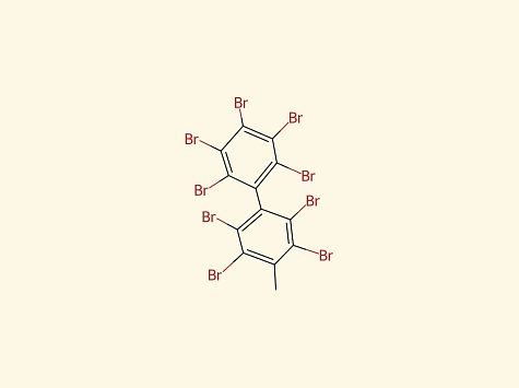 Cc1c(Br)c(Br)c(-c2c(Br)c(Br)c(Br)c(Br)c2Br)c(Br)c1Br